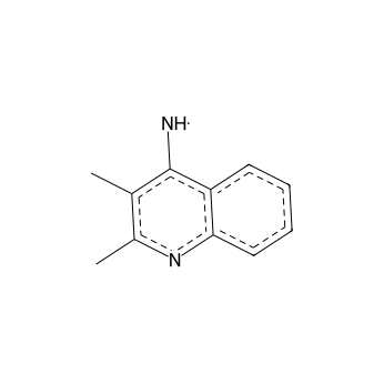 Cc1nc2ccccc2c([NH])c1C